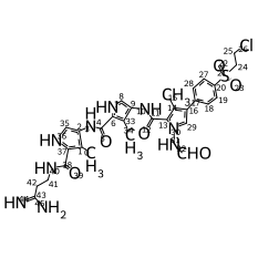 Cc1c(NC(=O)c2[nH]cc(NC(=O)c3c(C)c(-c4ccc(S(=O)(=O)CCCl)cc4)cn3NC=O)c2C)c[nH]c1C(=O)NCCC(=N)N